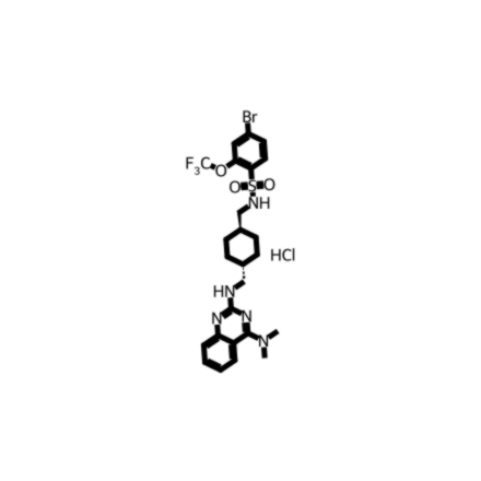 CN(C)c1nc(NC[C@H]2CC[C@H](CNS(=O)(=O)c3ccc(Br)cc3OC(F)(F)F)CC2)nc2ccccc12.Cl